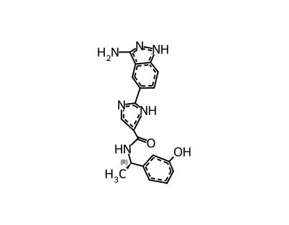 C[C@@H](NC(=O)c1cnc(-c2ccc3[nH]nc(N)c3c2)[nH]1)c1cccc(O)c1